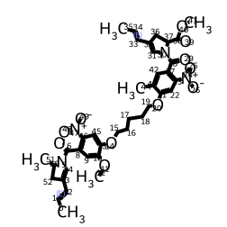 C/C=C/C1=CN(C(=O)c2cc(OC)c(OCCCCCOc3cc([N+](=O)[O-])c(C(=O)N4C=C(/C=C/C)CC4C(=O)OC)cc3C)cc2[N+](=O)[O-])C(C)C1